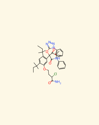 CCC(C)(C)c1cc(C(C)(C)CC)c(C(Oc2nnnn2-c2ccccc2)(C(=O)Nc2ccccc2)C(=O)C(C)(C)C)cc1OCCC(Cl)C(N)=O